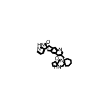 O=C1N(Cc2cnc3cc4c(cc3c2)C[C@@]2(C4)C(=O)Nc3ncccc32)C2(CCCCCC2)CNC12CCCC2